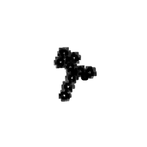 c1ccc(-c2ccc(-c3ccc(N(c4ccc(-c5c(-c6ccccc6)c6ccccc6c6ccccc56)cc4)c4ccc5c(c4)oc4ccccc45)cc3)cc2)cc1